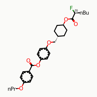 CCCC[C@H](F)C(=O)O[C@H]1CC[C@H](COc2ccc(OC(=O)c3ccc(OCCC)cc3)cc2)CC1